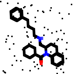 O=C(C1CCCCC1)N1c2ccccc2CCC1CNCCCCc1ccccc1